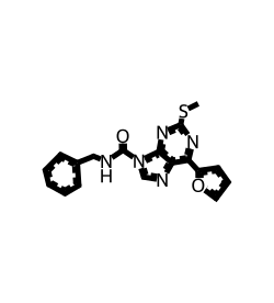 CSc1nc(-c2ccco2)c2ncn(C(=O)NCc3ccccc3)c2n1